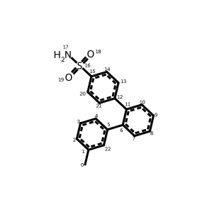 Cc1cccc(-c2ccccc2-c2ccc(S(N)(=O)=O)cc2)c1